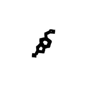 CCC1Cc2ccc(CC#N)cc2C1